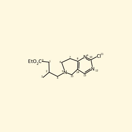 CCOC(=O)CC(C)CN1CCc2nc(Cl)ncc2C1